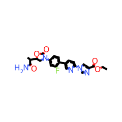 CCOC(=O)c1cn(-c2ccc(-c3ccc(N4CC(C(C)C(N)=O)OC4=O)cc3F)cn2)cn1